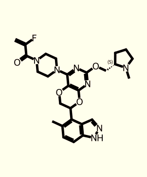 C=C(F)C(=O)N1CCN(c2nc(OC[C@@H]3CCCN3C)nc3c2OCC(c2c(C)ccc4[nH]ncc24)O3)CC1